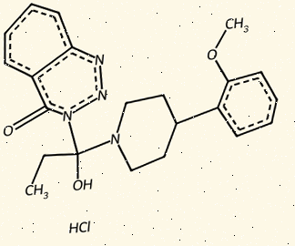 CCC(O)(N1CCC(c2ccccc2OC)CC1)n1nnc2ccccc2c1=O.Cl